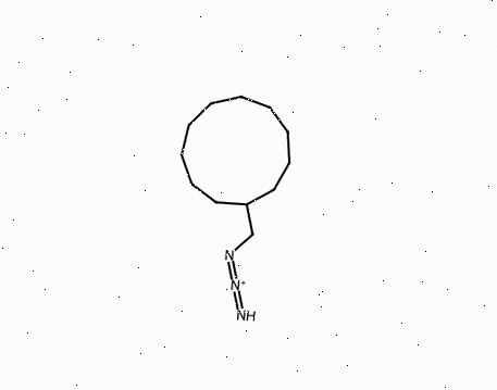 N=[N+]=NCC1CCCCCCCCCC1